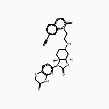 N#Cc1ccc2ccc(=O)n(CCN[C@@H]3CC[C@@H]4[C@@H](C3)OC(=O)N4c3ncc4c(n3)NC(=O)CO4)c2c1